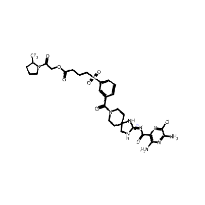 Nc1nc(N)c(C(=O)/N=C2\NCC3(CCN(C(=O)c4cccc(S(=O)(=O)CCCC(=O)OCC(=O)N5CCCC5C(F)(F)F)c4)CC3)N2)nc1Cl